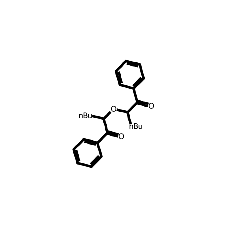 CCCCC(OC(CCCC)C(=O)c1ccccc1)C(=O)c1ccccc1